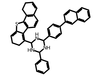 C1=Cc2ccc3c4c(sc3c2CC1)=CCCC=4C1NC(c2ccccc2)NC(c2ccc(-c3ccc4ccccc4c3)cc2)N1